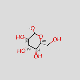 [O]C1O[C@H](CO)[C@@H](O)[C@H](O)[C@@H]1O